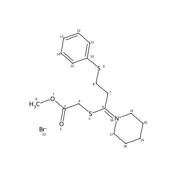 COC(=O)CSC(CCSc1ccccc1)=[N+]1CCCCC1.[Br-]